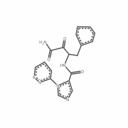 NC(=O)C(=O)C(Cc1ccccc1)NC(=O)c1cncn1-c1cccnn1